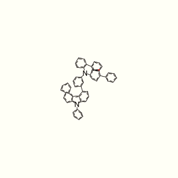 c1ccc(-c2ccc(N(c3cccc(-c4cccc5c4c4c6ccccc6ccc4n5-c4ccccc4)c3)c3ccccc3-c3ccccc3)cc2)cc1